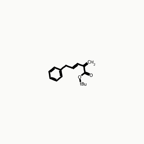 C=C(C=CCc1ccccc1)C(=O)OC(C)(C)C